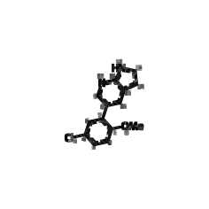 COc1ccc(Cl)cc1-c1cnc2[nH]ccc2c1